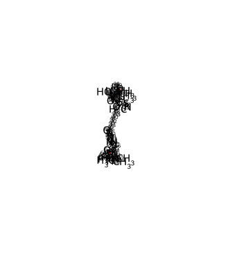 Cc1ncsc1-c1ccc(CNC(=O)[C@@H]2C[C@@H](O)CN2C(=O)[C@@H](NC(=O)C2(F)CC2)C(C)(C)C)c(OCCCCCCCCCCCC(=O)N2CCN(c3ncc(-c4cc(NC(=O)c5ccc(F)cc5C(F)(F)F)c(N5C[C@@H](C)N(C)[C@@H](C)C5)cc4F)cn3)CC2)c1